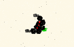 CC(C)(C)c1ccc(-c2cccc3c2C=C(C2CCCC2)[CH]3[Ti+2]2([CH]3C(C4CCCC4)=Cc4c(-c5ccc(C(C)(C)C)cc5)cccc43)[CH2]C[CH2]2)cc1.[Cl-].[Cl-]